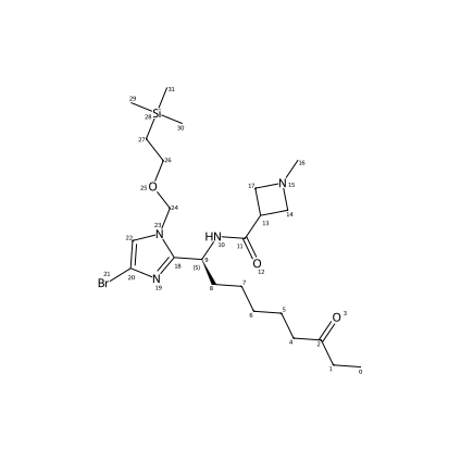 CCC(=O)CCCCC[C@H](NC(=O)C1CN(C)C1)c1nc(Br)cn1COCC[Si](C)(C)C